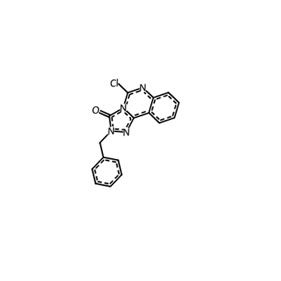 O=c1n(Cc2ccccc2)nc2c3ccccc3nc(Cl)n12